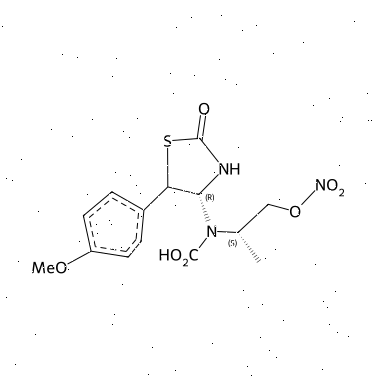 COc1ccc(C2SC(=O)N[C@@H]2N(C(=O)O)[C@@H](C)CO[N+](=O)[O-])cc1